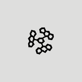 c1ccc2c(-c3cc(-c4c5ccccc5cc5ccccc45)cc(-c4c5ccccc5cc5ccccc45)c3)c3ccccc3cc2c1